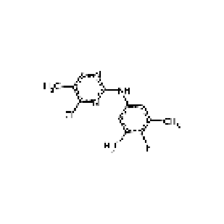 Cc1cnc(Nc2cc(C)c(F)c(C)c2)nc1Cl